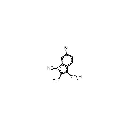 Cc1c(C(=O)O)c2ccc(Br)cc2n1C#N